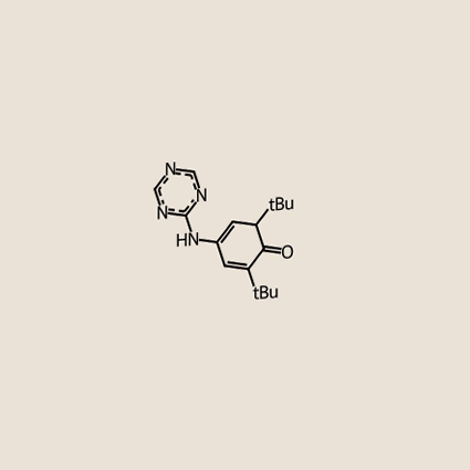 CC(C)(C)C1=CC(Nc2ncncn2)=CC(C(C)(C)C)C1=O